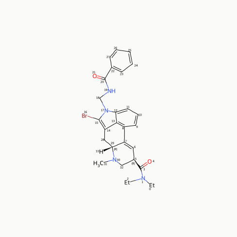 CCN(CC)C(=O)[C@@H]1C=C2c3cccc4c3c(c(Br)n4CNC(=O)c3ccccc3)C[C@H]2N(C)C1